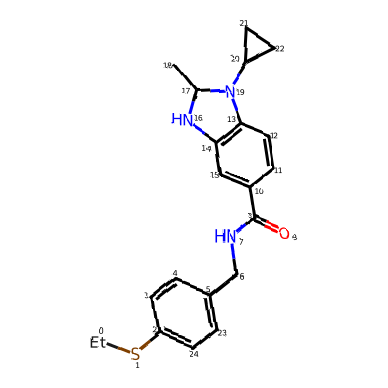 CCSc1ccc(CNC(=O)c2ccc3c(c2)NC(C)N3C2CC2)cc1